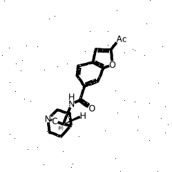 CC(=O)c1cc2ccc(C(=O)N[C@H]3CN4CCC3CC4)cc2o1